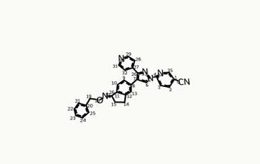 N#Cc1ccc(-n2cc(-c3ccc4c(c3)CCC4=NOCc3ccccc3)c(-c3ccncc3)n2)nc1